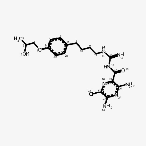 CC(O)COc1ccc(CCCCNC(=N)NC(=O)c2nc(Cl)c(N)nc2N)cc1